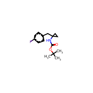 CC(C)(C)OC(=O)NC1(Cc2ccc(I)cc2)CC1